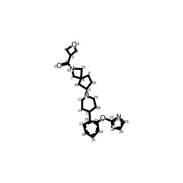 O=C(C1COC1)N1CC2(CC[C@@H](N3CCC(c4ccccc4Oc4nccs4)CC3)C2)C1